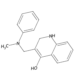 CN(CC1=C(O)c2ccccc2NC1)c1ccccc1